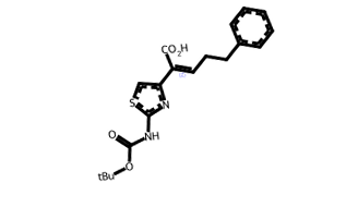 CC(C)(C)OC(=O)Nc1nc(/C(=C/CCc2ccccc2)C(=O)O)cs1